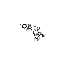 Cc1ccc(S(=O)(=O)OC[C@H]2CN3CC(F)(F)Oc4c(Br)sc(c43)C(=O)N2)cc1